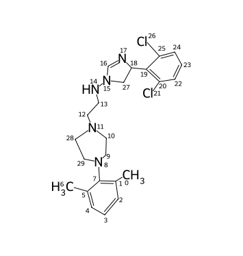 Cc1cccc(C)c1N1CCN(CCNN2C=NC(c3c(Cl)cccc3Cl)C2)CC1